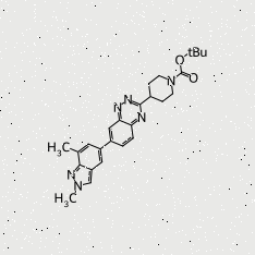 Cc1cc(-c2ccc3nc(C4CCN(C(=O)OC(C)(C)C)CC4)nnc3c2)cc2cn(C)nc12